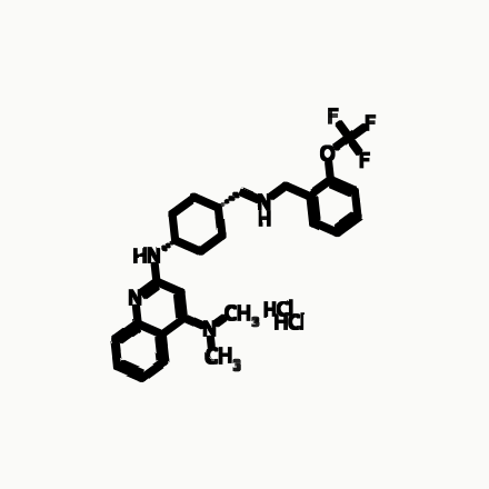 CN(C)c1cc(N[C@H]2CC[C@@H](CNCc3ccccc3OC(F)(F)F)CC2)nc2ccccc12.Cl.Cl